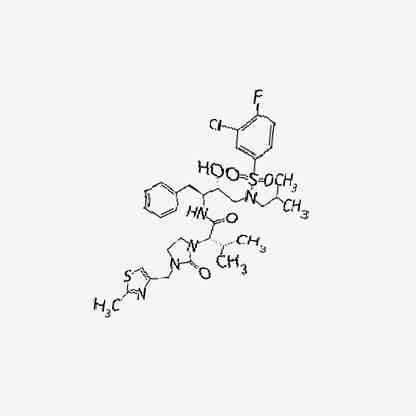 Cc1nc(CN2CCN([C@H](C(=O)N[C@@H](Cc3ccccc3)[C@H](O)CN(CC(C)C)S(=O)(=O)c3ccc(F)c(Cl)c3)C(C)C)C2=O)cs1